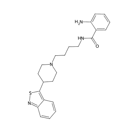 Nc1ccccc1C(=O)NCCCCN1CCC(c2snc3ccccc23)CC1